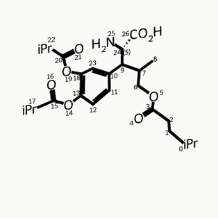 CC(C)CCC(=O)OCC(C)C(c1ccc(OC(=O)C(C)C)c(OC(=O)C(C)C)c1)[C@H](N)C(=O)O